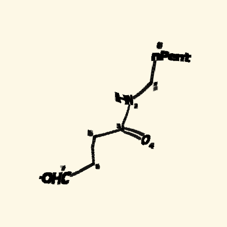 CCCCCCNC(=O)CC[C]=O